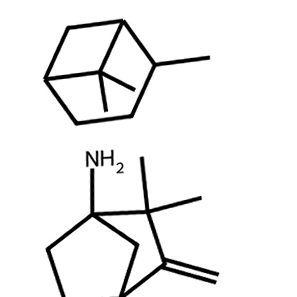 C=C1C2CCC(N)(C2)C1(C)C.CC1CCC2CC1C2(C)C